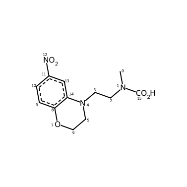 CN(CCN1CCOc2ccc([N+](=O)[O-])cc21)C(=O)O